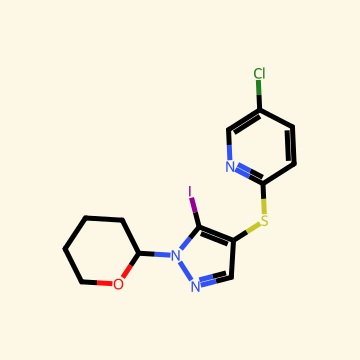 Clc1ccc(Sc2cnn(C3CCCCO3)c2I)nc1